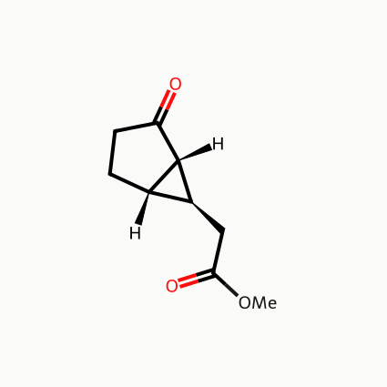 COC(=O)C[C@H]1[C@@H]2CCC(=O)[C@@H]21